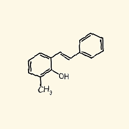 Cc1cccc(C=Cc2ccccc2)c1O